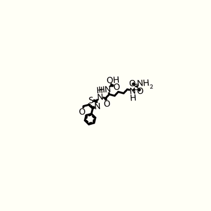 NS(=O)(=O)NCCCCC(NC(=O)O)C(=O)Nc1nc2c(s1)COc1ccccc1-2